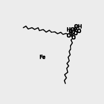 CCCCCCCCCCCCCCCCOP(=O)(OCCCCCCCCCCCCCCCC)OP(=O)(O)O.[Fe]